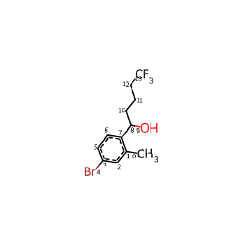 Cc1cc(Br)ccc1C(O)CCCC(F)(F)F